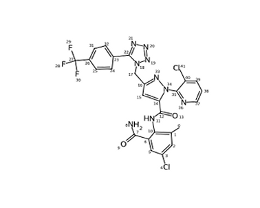 Cc1cc(Cl)cc(C(N)=O)c1NC(=O)c1cc(Cn2nnnc2-c2ccc(C(F)(F)F)cc2)nn1-c1ncccc1Cl